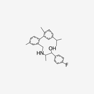 Cc1ccc(-c2cc(C(C)C)ccc2C)c(CNC(C)C(O)c2ccc(F)cc2)c1